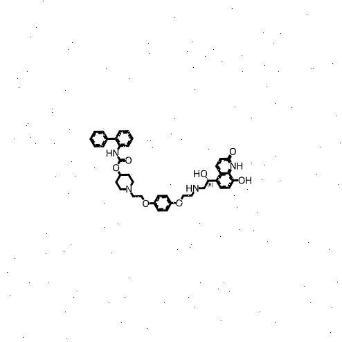 O=C(Nc1ccccc1-c1ccccc1)OC1CCN(CCOc2ccc(OCCNC[C@H](O)c3ccc(O)c4[nH]c(=O)ccc34)cc2)CC1